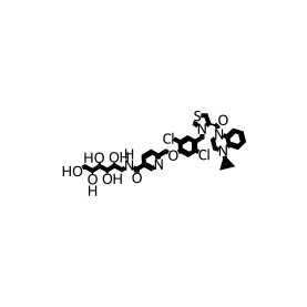 O=C(NC[C@H](O)[C@@H](O)[C@H](O)[C@H](O)CO)c1ccc(COc2cc(Cl)c(CN3CSC[C@H]3C(=O)N3CCN(C4CC4)c4ccccc43)cc2Cl)nc1